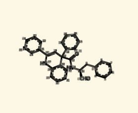 O=C[C@H](Cc1ccccc1)NC(=O)C1(c2ccccc2)C=C(c2cccnc2)Nc2ccccc21